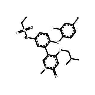 CCS(=O)(=O)Nc1ccc(Oc2ccc(F)cc2F)c(-c2cn(C)c(=O)cc2OCC(C)C)c1